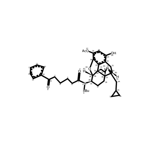 CCCCN(C(=O)CCCCC(=O)c1ccccc1)[C@@H]1CC[C@H]2[C@H]3Cc4c(O)cc(OC(C)=O)c5c4[C@@]2(CCN3CC2CC2)[C@H]1O5